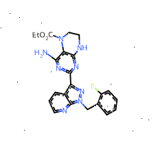 CCOC(=O)N1CCNc2nc(-c3nn(Cc4ccccc4F)c4ncccc34)nc(N)c21